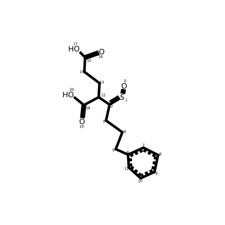 O=S=C(CCCc1ccccc1)C(CCC(=O)O)C(=O)O